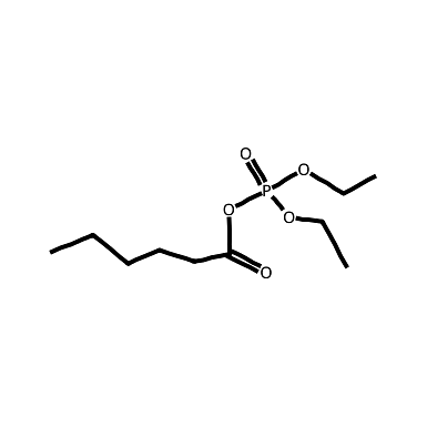 CCCCCC(=O)OP(=O)(OCC)OCC